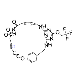 O=C1NS(=O)(=O)C/C=C/CCOC2=CCC(C=C2)CNc2nc(nc(OCC(F)(F)F)n2)Nc2ccc1cc2